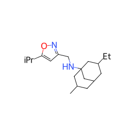 CCC1CC2CC(C)CC(NCc3cc(C(C)C)on3)(C1)C2